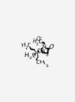 C=CC[N+](C)(C)CC=C.C=CN1CCCC1=O.[Cl-]